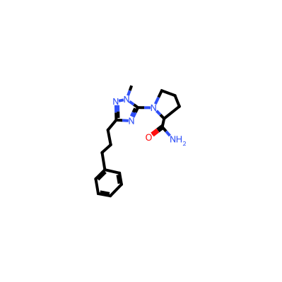 Cn1nc(CCCc2ccccc2)nc1N1CCCC1C(N)=O